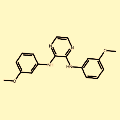 COc1cccc(Nc2nccnc2Nc2cccc(OC)c2)c1